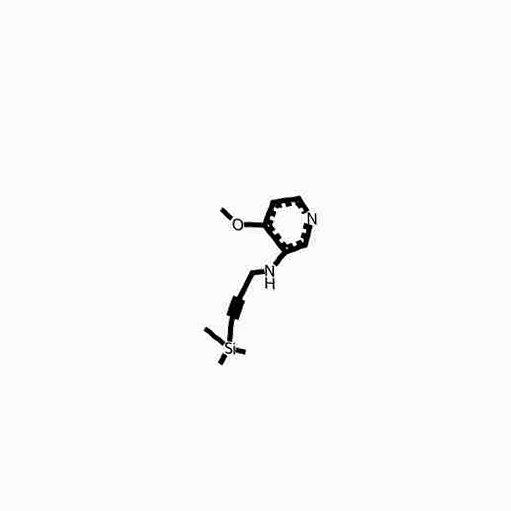 COc1ccncc1NCC#C[Si](C)(C)C